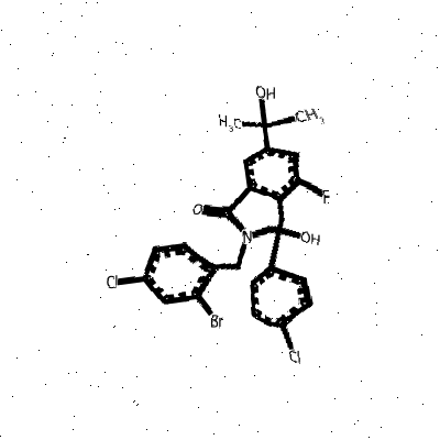 CC(C)(O)c1cc(F)c2c(c1)C(=O)N(Cc1ccc(Cl)cc1Br)C2(O)c1ccc(Cl)cc1